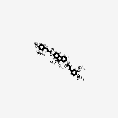 COc1ccc(C=CC(=O)Oc2ccc3c(c2)C(C)(C)c2cc(OC(=O)C=Cc4ccc(OC)c(OC)c4)ccc2-3)cc1OC